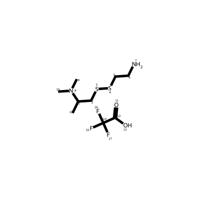 CC(CSSCCN)N(C)C.O=C(O)C(F)(F)F